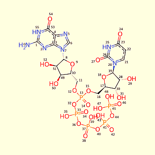 Nc1nc2c(ncn2[C@@H]2O[C@H](COP(=O)(OC[C@H]3O[C@@H](n4ccc(=O)[nH]c4=O)[C@H](O)[C@@H]3O)OP(=O)(O)OP(=O)(O)OP(=O)(O)OP(=O)(O)O)[C@@H](O)[C@H]2O)c(=O)[nH]1